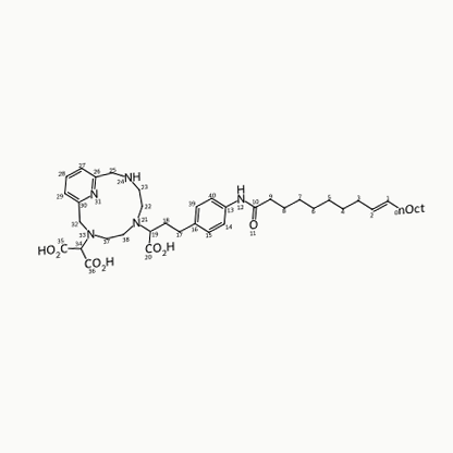 CCCCCCCCC=CCCCCCCCC(=O)Nc1ccc(CCC(C(=O)O)N2CCNCc3cccc(n3)CN(C(C(=O)O)C(=O)O)CC2)cc1